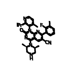 Cc1cccc(-c2nc3c(cc2C#N)c(N2[C@H](C)CNC[C@@H]2C)nc(=O)n3-c2c(C)ccnc2C(C)C)c1F